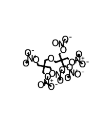 O=[N+]([O-])OCC(COCC(CO[N+](=O)[O-])(CO[N+](=O)[O-])CO[N+](=O)[O-])(CO[N+](=O)[O-])CO[N+](=O)[O-]